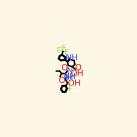 CCC(C)C(NC(=O)C(O)c1ccccc1F)C(=O)NC1(C(=O)O)CCc2[nH]c3c(C(F)(F)F)cccc3c2C1